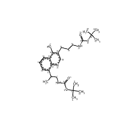 CC(CNC(=O)OC(C)(C)C)c1cccc2c(O)c(CCCNC(=O)OC(C)(C)C)cnc12